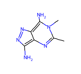 Cc1nc2c(N)nnc-2c(N)n1C